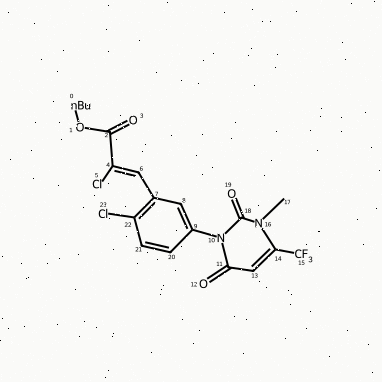 CCCCOC(=O)/C(Cl)=C/c1cc(-n2c(=O)cc(C(F)(F)F)n(C)c2=O)ccc1Cl